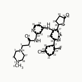 CN1CCN(CCC(=O)Nc2cc(Nc3cc(-c4cc(Cl)ccc4F)nnc3C3CCC(=O)S3)ccn2)CC1